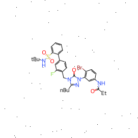 CCCCc1nn(-c2cc(NC(=O)CC)ccc2Br)c(=O)n1Cc1ccc(-c2ccccc2S(=O)(=O)NC(C)(C)C)cc1F